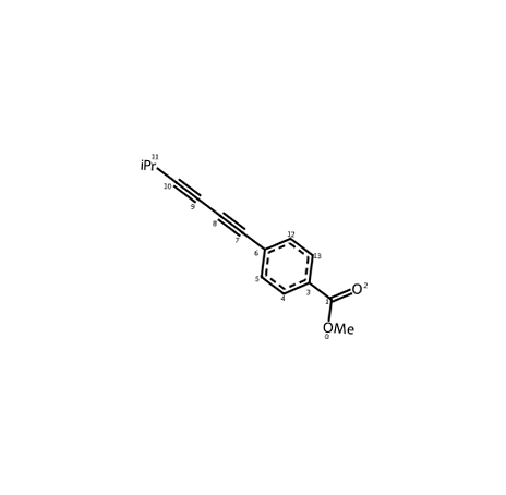 COC(=O)c1ccc(C#CC#CC(C)C)cc1